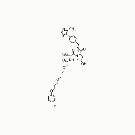 Cc1ncsc1-c1ccc(CNC(=O)[C@@H]2C[C@@H](O)CN2C(=O)[C@@H](NC(=O)COCCCOCCCOc2ccc(C(C)C)cc2)C(C)(C)C)cc1